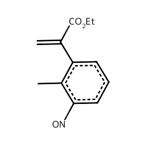 C=C(C(=O)OCC)c1cccc(N=O)c1C